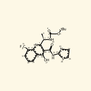 C[C@@H](NC(=O)OC(C)(C)C)c1nc2c(C(F)(F)F)cccc2c(O)c1C(=O)Nc1nccs1